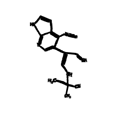 CNc1c(/C(C=N)=C/NC(C)(C)C#N)cnc2[nH]ccc12